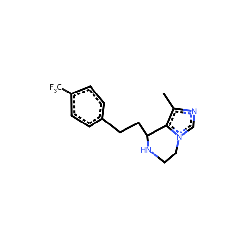 Cc1ncn2c1C(CCc1ccc(C(F)(F)F)cc1)NCC2